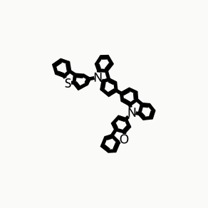 c1ccc2c(c1)oc1cc(-n3c4ccccc4c4ccc(-c5ccc6c(c5)c5ccccc5n6-c5ccc6sc7ccccc7c6c5)cc43)ccc12